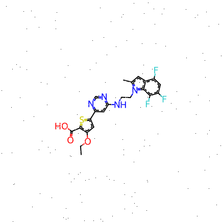 CCOc1cc(-c2cc(NCCn3c(C)cc4c(F)cc(F)c(F)c43)ncn2)sc1C(=O)O